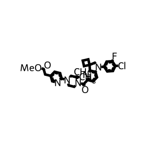 COC(=O)Cc1ccc(N2CCN(C(=O)c3ccc4c(n3)C3(CCC3)CN4c3ccc(Cl)c(F)c3)C(C)(C)C2)nc1